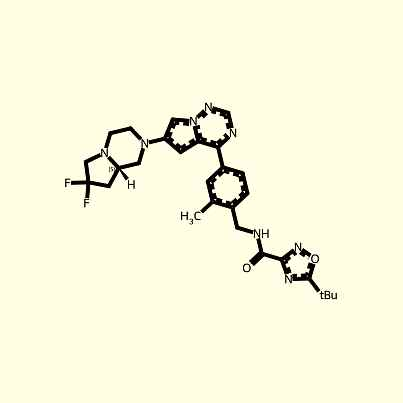 Cc1cc(-c2ncnn3cc(N4CCN5CC(F)(F)C[C@H]5C4)cc23)ccc1CNC(=O)c1noc(C(C)(C)C)n1